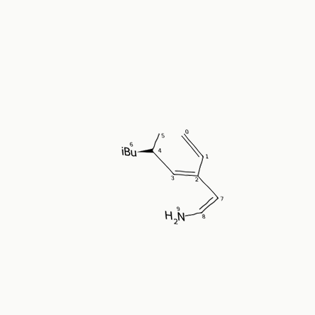 C=CC(=CC(C)[C@H](C)CC)/C=C\N